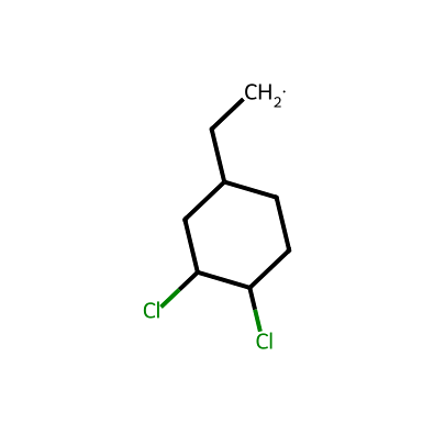 [CH2]CC1CCC(Cl)C(Cl)C1